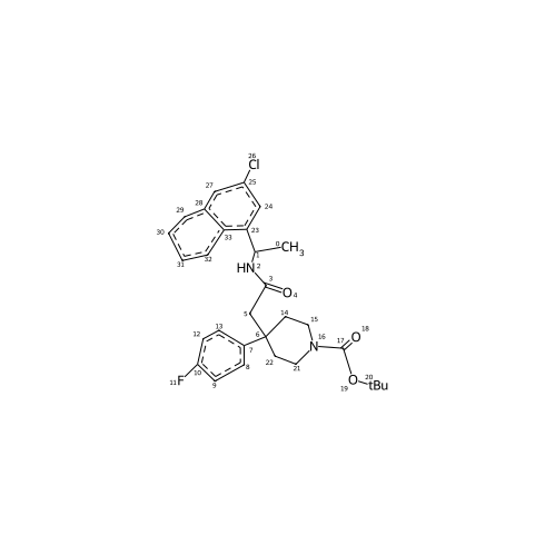 CC(NC(=O)CC1(c2ccc(F)cc2)CCN(C(=O)OC(C)(C)C)CC1)c1cc(Cl)cc2ccccc12